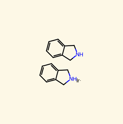 [Ir].c1ccc2c(c1)CNC2.c1ccc2c(c1)CNC2